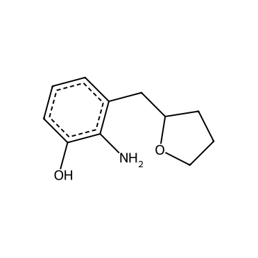 Nc1c(O)cccc1CC1CCCO1